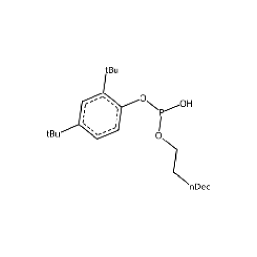 CCCCCCCCCCCCOP(O)Oc1ccc(C(C)(C)C)cc1C(C)(C)C